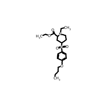 CCCCOc1ccc(S(=O)(=O)C2CCN(CC)C(C(=O)OCC)C2)cc1